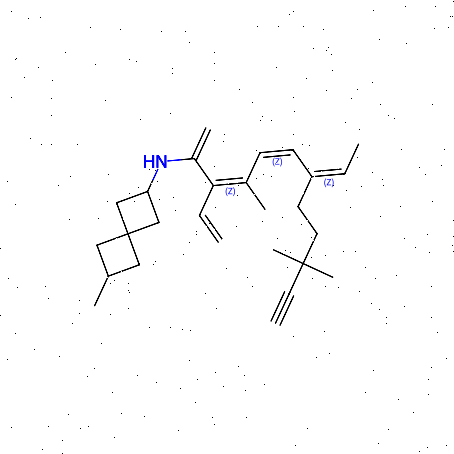 C#CC(C)(C)CCC(/C=C\C(C)=C(\C=C)C(=C)NC1CC2(CC(C)C2)C1)=C/C